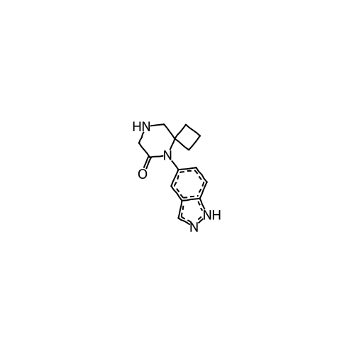 O=C1CNCC2(CCC2)N1c1ccc2[nH]ncc2c1